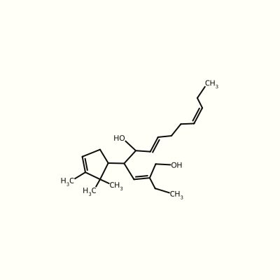 CC/C=C\CC/C=C/C(O)C(C=C(CC)CO)C1CC=C(C)C1(C)C